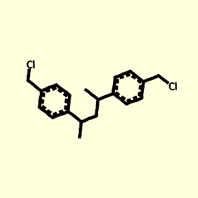 CC(CC(C)c1ccc(CCl)cc1)c1ccc(CCl)cc1